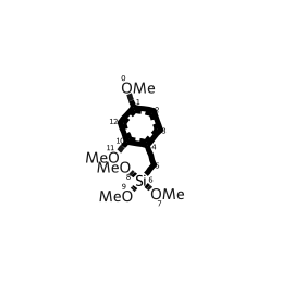 COc1ccc(C[Si](OC)(OC)OC)c(OC)c1